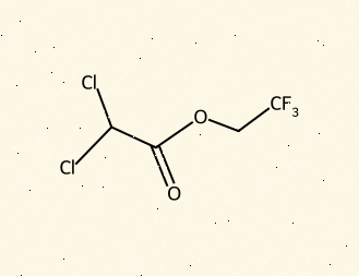 O=C(OCC(F)(F)F)C(Cl)Cl